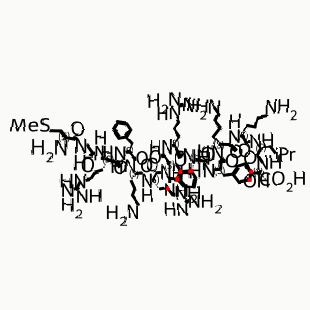 CSCC[C@H](N)C(=O)NCC(=O)N[C@@H](CCCNC(=N)N)C(=O)N[C@@H](Cc1ccccc1)C(=O)N[C@@H](CCCCN)C(=O)N[C@@H](CCCNC(=N)N)C(=O)N[C@@H](Cc1ccccc1)C(=O)N[C@@H](CCCNC(=N)N)C(=O)N[C@@H](CCCCN)C(=O)N[C@@H](Cc1ccccc1)C(=O)N[C@@H](CCCCN)C(=O)N[C@@H](CCCCN)C(=O)N[C@@H](CC(C)C)C(=O)N[C@@H](CO)C(=O)O